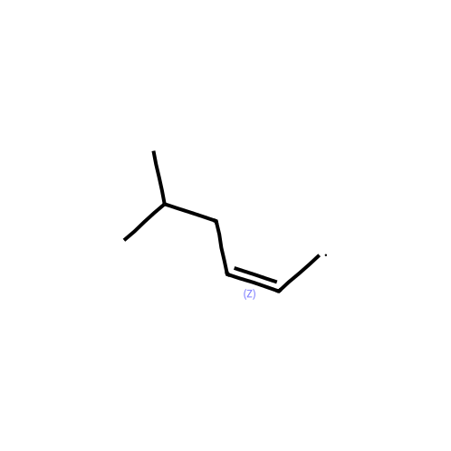 [CH2]/C=C\CC(C)C